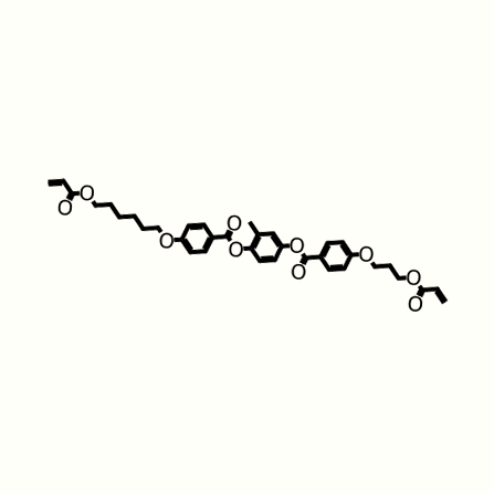 C=CC(=O)OCCCCCCOc1ccc(C(=O)Oc2ccc(OC(=O)c3ccc(OCCCOC(=O)C=C)cc3)cc2C)cc1